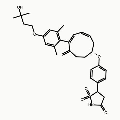 C=C1CC[C@@H](Oc2ccc(C3CC(=O)NS3(=O)=O)cc2)C/C=C\C=C/1c1c(C)cc(OCCC(C)(C)O)cc1C